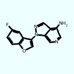 Nc1cncc2c1cnn2-c1coc2ccc(F)cc12